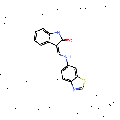 O=C1Nc2ccccc2C1=CNc1ccc2ncsc2c1